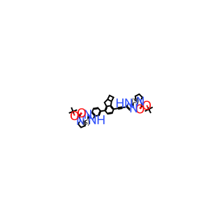 CC(C)(C)OC(=O)N1CCC[C@H]1c1ncc(C#Cc2ccc(-c3ccc4nc([C@@H]5CCCN5C(=O)OC(C)(C)C)[nH]c4c3)c3c2C2CCC2C3)[nH]1